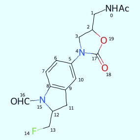 CC(=O)NCC1CN(c2ccc3c(c2)CC(CF)N3C=O)C(=O)O1